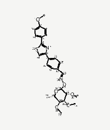 COc1ccc(-c2nc(-c3ccc(/C=N/O[C@@H]4O[C@@H](C)[C@H](OC)[C@@H](OC)[C@H]4OC)cc3)cs2)cc1